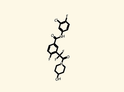 O=C(Nc1ccc(F)c(Cl)c1)c1ccc(F)c(C(F)(F)C(=O)N2CCC(O)CC2)c1